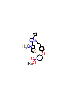 Cn1c(-c2ncc(C3CCC3)n2CCCc2ccc(OC3CCCN(C(=O)OC(C)(C)C)CC3)cc2)cc2sccc21